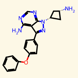 Nc1ncnc2c1c(-c1ccc(Oc3ccccc3)cc1)nn2[C@H]1C[C@@H](N)C1